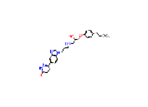 CC(C)COCCc1ccc(OCC(O)CNCCCn2cnc3cc(C4=NNC(=O)CC4)ccc32)cc1